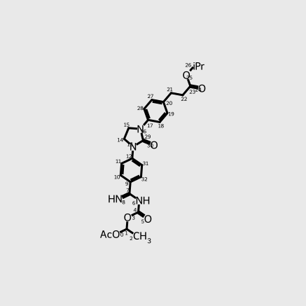 CC(=O)OC(C)OC(=O)NC(=N)c1ccc(N2CCN(c3ccc(CCC(=O)OC(C)C)cc3)C2=O)cc1